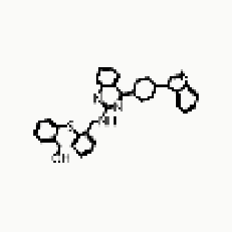 OCc1ccccc1Sc1ccccc1CNc1nc(C2CCC(C3C=Nc4ccccc43)CC2)c2ccccc2n1